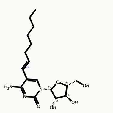 CCCCCC/C=C/c1cn([C@@H]2O[C@H](CO)[C@@H](O)[C@@H]2O)c(=O)nc1N